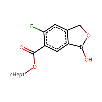 CCCCCCCOC(=O)c1cc2c(cc1F)COB2O